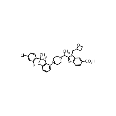 C[C@@H](c1nc2ccc(C(=O)O)cc2n1C[C@@H]1CCO1)N1CCN(c2cccc3c2O[C@@](C)(c2ccc(Cl)cc2F)O3)CC1